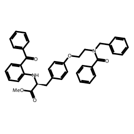 COC(=O)[C@H](Cc1ccc(OCCN(Cc2ccccc2)C(=O)c2ccccc2)cc1)Nc1ccccc1C(=O)c1ccccc1